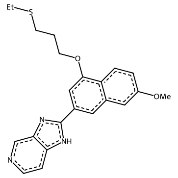 CCSCCCOc1cc(-c2nc3cnccc3[nH]2)cc2cc(OC)ccc12